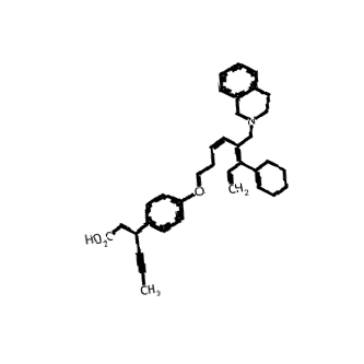 C=C/C(C1=CCCCC1)=C(\C=C/CCOc1ccc(C(C#CC)CC(=O)O)cc1)CN1CCc2ccccc2C1